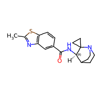 Cc1nc2cc(C(=O)N[C@@H]3C4CCN(CC4)C34CC4)ccc2s1